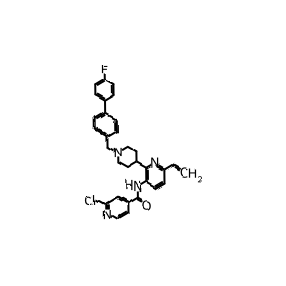 C=Cc1ccc(NC(=O)c2ccnc(Cl)c2)c(C2CCN(Cc3ccc(-c4ccc(F)cc4)cc3)CC2)n1